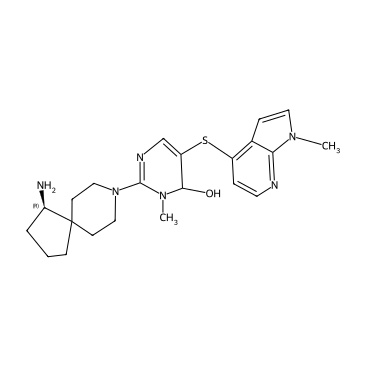 CN1C(N2CCC3(CCC[C@H]3N)CC2)=NC=C(Sc2ccnc3c2ccn3C)C1O